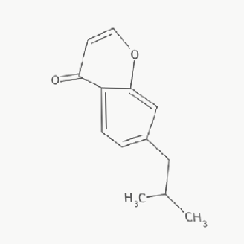 CC(C)Cc1ccc2c(=O)ccoc2c1